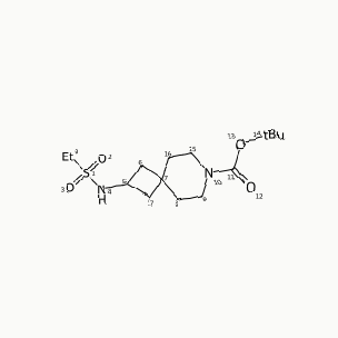 CCS(=O)(=O)NC1CC2(CCN(C(=O)OC(C)(C)C)CC2)C1